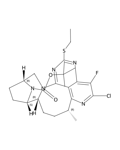 CCSc1nc2c3c(nc(Cl)c(F)c3n1)[C@H](C)CC[C@@H]1[C@@H]3CC[C@H](CN21)N3C(=O)OC(C)(C)C